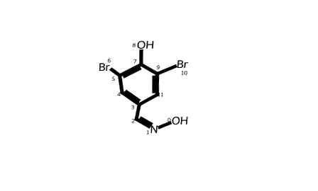 O/N=C\c1cc(Br)c(O)c(Br)c1